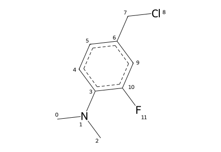 CN(C)c1ccc(CCl)cc1F